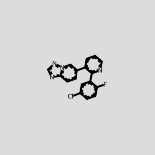 Fc1ccc(Cl)cc1-c1ncccc1-c1ccc2ncnn2c1